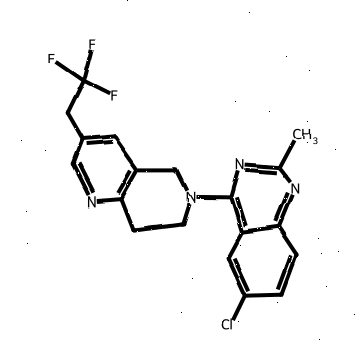 Cc1nc(N2CCc3ncc(CC(F)(F)F)cc3C2)c2cc(Cl)ccc2n1